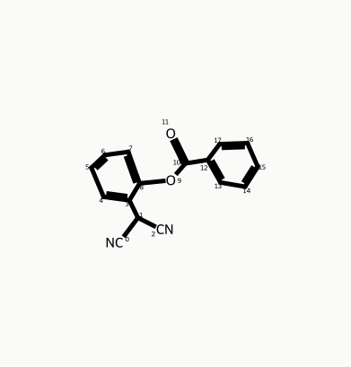 N#CC(C#N)c1ccccc1OC(=O)c1ccccc1